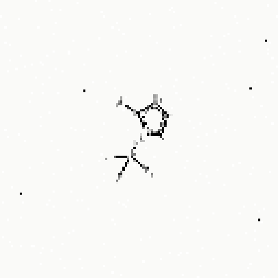 CCCc1ncc[nH]1.F[B-](F)(F)F